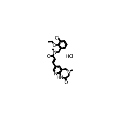 CCOc1c(Cl)cccc1CN(C)C(=O)C=Cc1cnc2c(c1)CN(C)CC(=O)N2.Cl